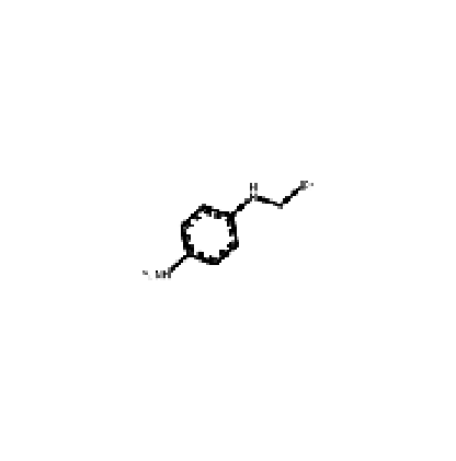 CC(=O)Nc1ccc(NCC(C)C)cc1